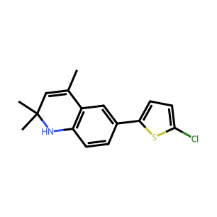 CC1=CC(C)(C)Nc2ccc(-c3ccc(Cl)s3)cc21